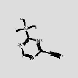 C#Cc1ncnc([Si](C)(C)C)n1